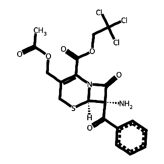 CC(=O)OCC1=C(C(=O)OCC(Cl)(Cl)Cl)N2C(=O)[C@@](N)(C(=O)c3ccccc3)[C@H]2SC1